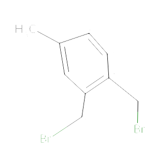 Cc1ccc(CBr)c(CBr)c1